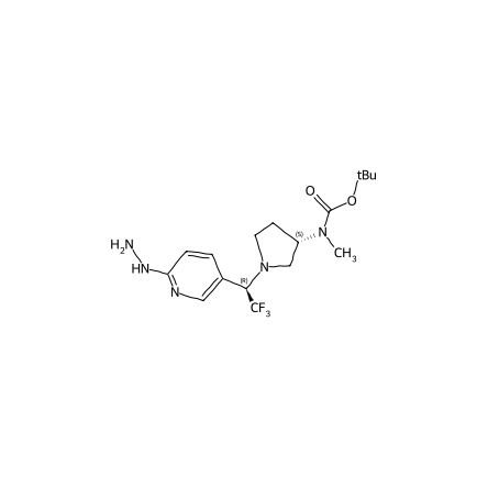 CN(C(=O)OC(C)(C)C)[C@H]1CCN([C@H](c2ccc(NN)nc2)C(F)(F)F)C1